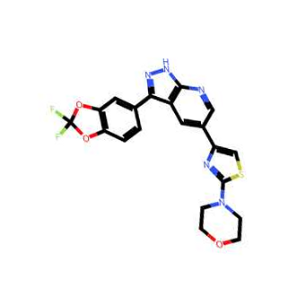 FC1(F)Oc2ccc(-c3n[nH]c4ncc(-c5csc(N6CCOCC6)n5)cc34)cc2O1